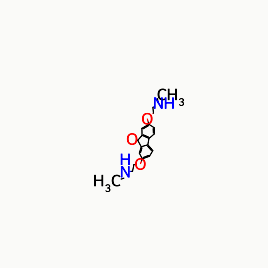 CCNCCOc1ccc2c(c1)C(=O)c1cc(OCCNCC)ccc1-2